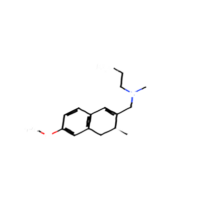 CCCCOc1ccc2c(c1)C[C@H](C)C(CN(C)CCC(=O)O)=C2